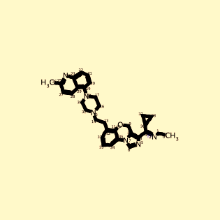 CC/N=C(/c1ncn2c1COc1c(CCN3CCN(c4cccc5nc(C)ccc45)CC3)cccc1-2)C1CC1